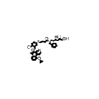 O=C(CCCSc1ccc(Cl)c(COC2(c3cnccc3-c3ccccc3OC3CC3)CC2)c1)N(CCCCC(O)CO)Cc1ccccc1